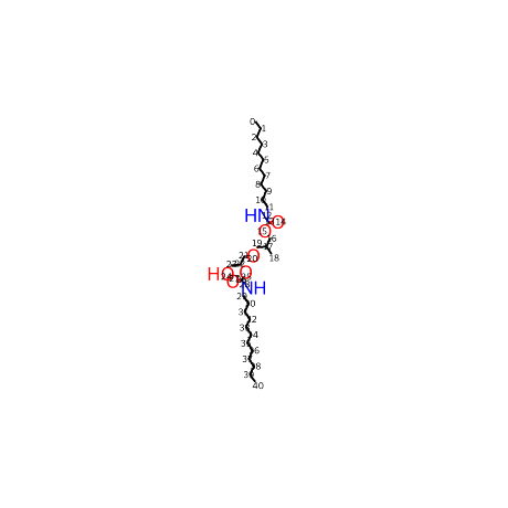 CCCCCCCCCCCCNC(=O)OCC(C)COCC(CO)OC(=O)NCCCCCCCCCCCC